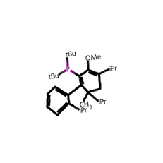 COC1=C(C(C)C)CC(C)(C(C)C)C(c2ccccc2C(C)C)=C1P(C(C)(C)C)C(C)(C)C